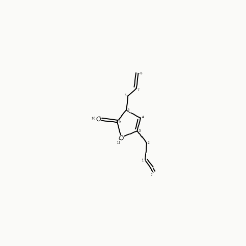 C=CCC1=CC(CC=C)C(=O)O1